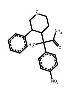 CC(C(N)=O)(c1ccc([N+](=O)[O-])cc1)C1CCNCC1c1ccccc1